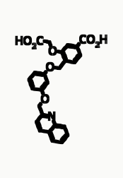 O=C(O)COc1cc(C(=O)O)ccc1COc1cccc(OCc2ccc3ccccc3n2)c1